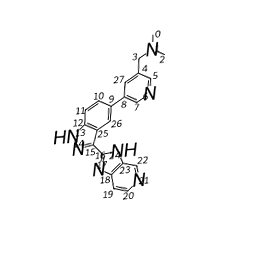 CN(C)Cc1cncc(-c2ccc3[nH]nc(-c4nc5ccncc5[nH]4)c3c2)c1